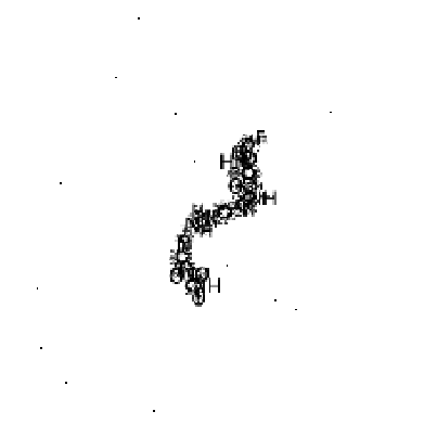 O=C1CC[C@H](N2Cc3cc(N4CC(CN5C[C@@H]6CN(c7ccc(-c8cnc9[nH]cc(C(=O)c%10c(F)ccc(NS(=O)(=O)N%11CC[C@@H](F)C%11)c%10F)c9c8)cc7)C[C@@H]6C5)C4)ccc3C2=O)C(=O)N1